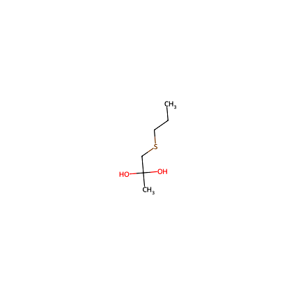 CCCSCC(C)(O)O